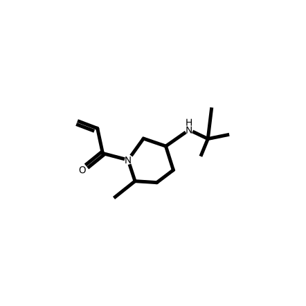 C=CC(=O)N1CC(NC(C)(C)C)CCC1C